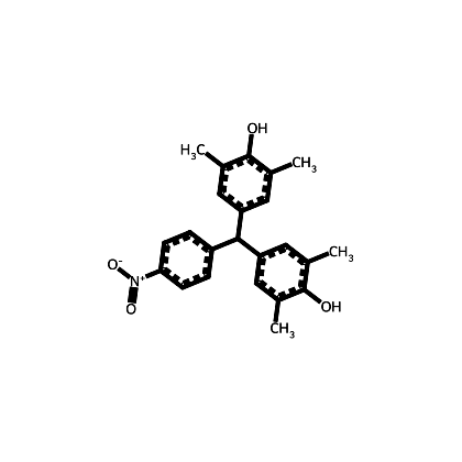 Cc1cc(C(c2ccc([N+](=O)[O-])cc2)c2cc(C)c(O)c(C)c2)cc(C)c1O